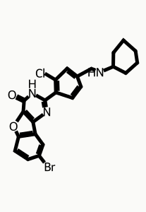 O=c1[nH]c(-c2ccc(CNC3CCCCC3)cc2Cl)nc2c1oc1ccc(Br)cc12